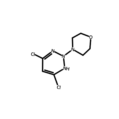 ClC1=CC(Cl)=NN(N2CCOCC2)N1